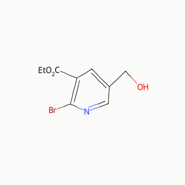 CCOC(=O)c1cc(CO)cnc1Br